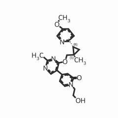 COc1ccc([C@@H]2C[C@]2(C)COc2nc(C)ncc2-c2ccn(CCO)c(=O)c2)nc1